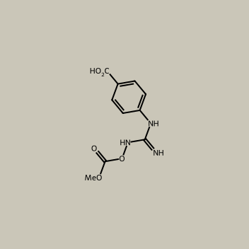 COC(=O)ONC(=N)Nc1ccc(C(=O)O)cc1